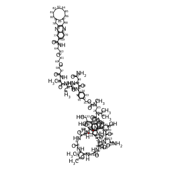 CC[C@H](C)[C@@H]1NC(=O)CNC(=O)[C@H]2Cc3c([nH]c4cc(OC(=O)N(CCN(C)C(=O)OCc5ccc(NC(=O)[C@H](CC(N)=O)NC(=O)[C@H](C)NC(=O)[C@H](C)NC(=O)CCOCCOCCNC(=O)c6ccc7nc8c(nc7c6)CC6CCCCCCCC(C8)C6)cc5)C(C)C)ccc34)[S+]([O-])C[C@H](NC(=O)CNC1=O)C(=O)N[C@@H](CC(N)=O)C(=O)N1C[C@H](O)C[C@H]1C(=O)N[C@@H]([C@@H](C)[C@@H](O)CO)C(=O)N2